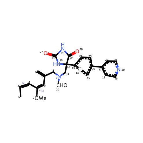 C=C(/C=C(\C=C/C)OC)CN(C=O)CC1(c2ccc(-c3ccncc3)cc2)NC(=O)NC1=O